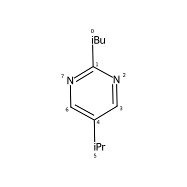 CCC(C)c1ncc(C(C)C)cn1